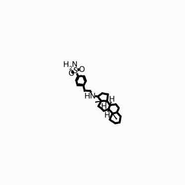 C[C@]12CCCCC1CC[C@@H]1[C@H]2CC[C@]2(C)C(NCCc3ccc(S(N)(=O)=O)cc3)CC[C@@H]12